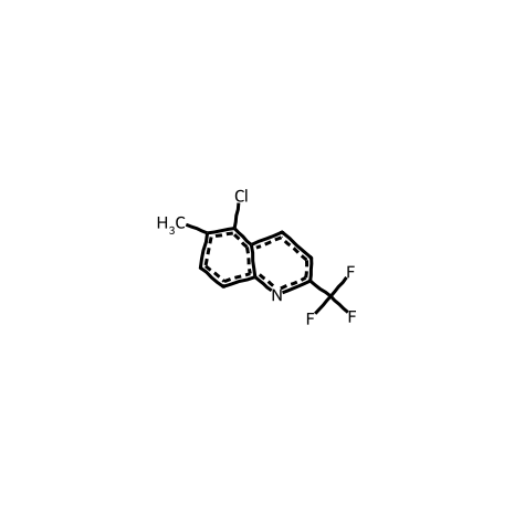 Cc1ccc2nc(C(F)(F)F)ccc2c1Cl